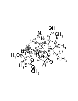 CCc1c(C)c(CC(C)=O)c2c(c1CCO)[C@H]1CC23OC(=O)C(=O)CS[C@H]3[C@H]2[C@@H]3c4c(cc(C)c(CC)c4OCOC)C(C[C@H](C#N)N21)N3C